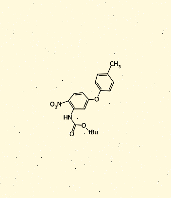 Cc1ccc(Oc2ccc([N+](=O)[O-])c(NC(=O)OC(C)(C)C)c2)cc1